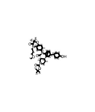 COCCCN1C(=O)C(F)(F)Oc2ccc(N(C(=O)[C@H]3CN(C(=O)OC(C)(C)C)CC[C@@H]3c3cccc(-c4ccc(O)cc4)c3)C3CC3)cc21